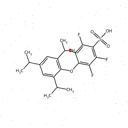 CC(C)c1cc(C(C)C)c(Oc2c(F)c(F)c(S(=O)(=O)O)c(F)c2F)c(C(C)C)c1